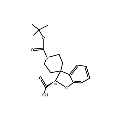 CC(C)(C)OC(=O)N1CCC2(CC1)c1ccccc1O[C@H]2C(=O)O